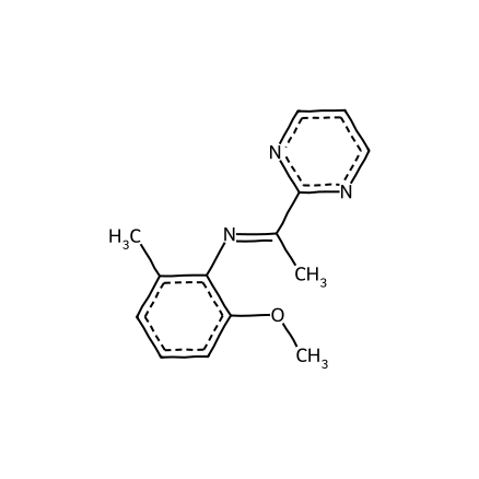 COc1cccc(C)c1N=C(C)c1ncccn1